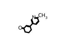 Cc1ccc(C2=CC(=O)CCC2)cn1